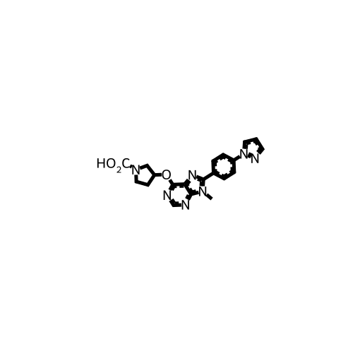 Cn1c(-c2ccc(-n3cccn3)cc2)nc2c(OC3CCN(C(=O)O)C3)ncnc21